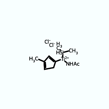 CC(=O)[NH][Ti+2]([C]1=CC(C)=CC1)[SiH](C)C.[Cl-].[Cl-]